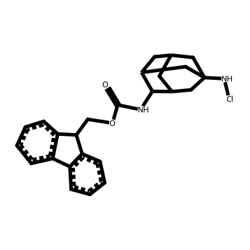 O=C(NC1C2CC3CC1CC(NCl)(C3)C2)OCC1c2ccccc2-c2ccccc21